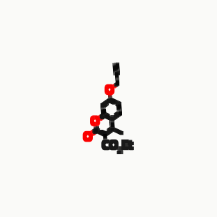 C#CCOc1ccc2c(C)c(C(=O)OCC)c(=O)oc2c1